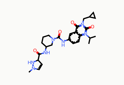 CC(C)n1c(=O)n(CC2CC2)c(=O)c2cc(NC(=O)N3CCCC(NC(=O)C4C=CN(C)N4)C3)ccc21